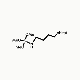 CCCCCCCCCCCN[Si](OC)(OC)OC